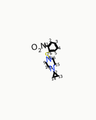 O=[N+]([O-])c1ccccc1SN1CCN(C2CC2)CC1